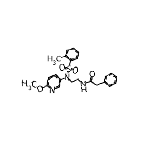 COc1ccc(N(CCNC(=O)Cc2ccccc2)S(=O)(=O)c2ccccc2C)cn1